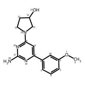 COc1cccc(-c2cc(N3CCC(O)C3)nc(N)n2)c1